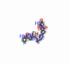 Cc1[nH]c2c(c1C(=O)NCC1(CN3CCN(c4ccc5c(c4)C(=O)N(C4CCC(=O)NC4=O)C5=O)CC3)CC1)CC/C2=C1/C(=O)Nc2ccc(F)cc21